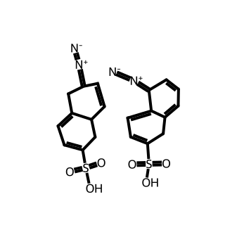 [N-]=[N+]=C1C=CC2CC(S(=O)(=O)O)=CC=C2C1.[N-]=[N+]=C1C=CC=C2CC(S(=O)(=O)O)=CC=C21